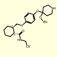 CC(C)(C)OC1(Oc2ccc(SC[C@@H]3CCCC[C@H]3C(=O)NCC#N)cc2)CCNCC1